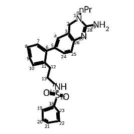 CCCN1Cc2cc(-c3ccccc3CCNS(=O)(=O)c3ccccc3)ccc2N=C1N